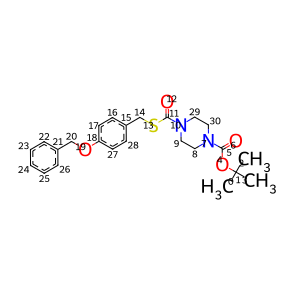 CC(C)(C)OC(=O)N1CCN(C(=O)SCc2ccc(OCc3ccccc3)cc2)CC1